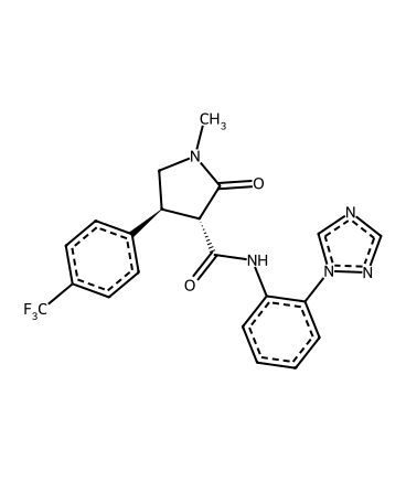 CN1C[C@H](c2ccc(C(F)(F)F)cc2)[C@@H](C(=O)Nc2ccccc2-n2cncn2)C1=O